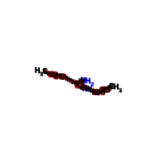 CCCCCOc1ccc(OC(=O)C=Cc2ccc(OCCCCCCCCCCCOC(=O)C(Cc3ccc(N)cc3)(Cc3ccc(N)cc3)C(=O)OCCCCCCCCCCCOc3ccc(C=CC(=O)Oc4ccc(OCCCCC)cc4)cc3)cc2)cc1